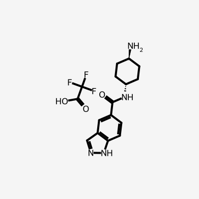 N[C@H]1CC[C@H](NC(=O)c2ccc3[nH]ncc3c2)CC1.O=C(O)C(F)(F)F